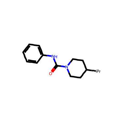 CC(C)C1CCN(C(=O)Nc2ccccc2)CC1